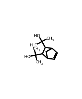 CC(C)(O)C1C2C=CC(C2)C1C(C)(C)O